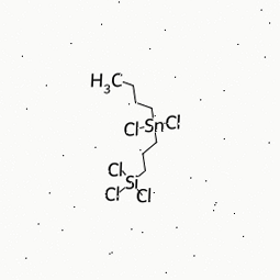 CCC[CH2][Sn]([Cl])([Cl])[CH2]CC[Si](Cl)(Cl)Cl